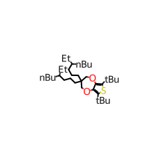 CCCCC(CC)CCCC1(CCCC(CC)CCCC)COc2c(C(C)(C)C)sc(C(C)(C)C)c2OC1